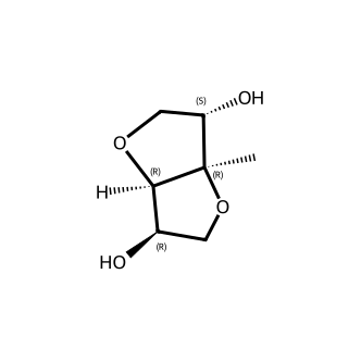 C[C@]12OC[C@@H](O)[C@H]1OC[C@@H]2O